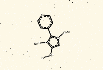 CCNc1nn(OC)c(-c2ccncc2)c1OC